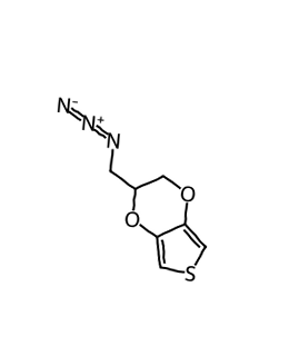 [N-]=[N+]=NCC1COc2cscc2O1